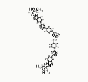 CC(C)(O)Cn1nnc2cc(-c3nc(-c4ccc(CO[PH](=O)OCc5ccc(-c6noc(-c7ccc8c(c7)nnn8CC(C)(C)O)n6)cc5)cc4)no3)ccc21